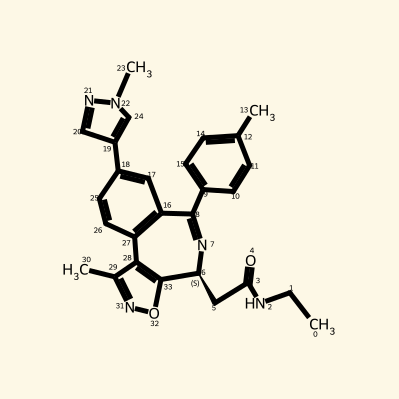 CCNC(=O)C[C@@H]1N=C(c2ccc(C)cc2)c2cc(-c3cnn(C)c3)ccc2-c2c(C)noc21